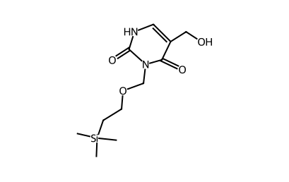 C[Si](C)(C)CCOCn1c(=O)[nH]cc(CO)c1=O